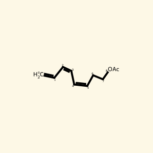 C=C/C=C\C=C/CCOC(C)=O